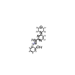 Oc1ccccc1/C=N/Nc1nccc(N2CCOCC2)n1